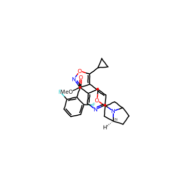 COC(=O)c1ccc(N2C3CC[C@H]2CC(OCc2c(-c4c(F)cccc4F)noc2C2CC2)C3)nc1